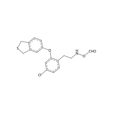 O=CONCCc1ccc(Cl)cc1Oc1ccc2c(c1)CSC2